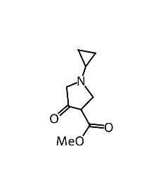 COC(=O)C1CN(C2CC2)CC1=O